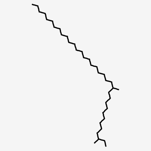 CCCCCCCCCCCCCCCCCCCCCCC(C)CCCCCCCCCC(C)CC